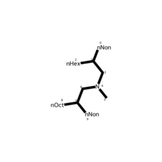 CCCCCCCCCC(CCCCCC)CN(C)CC(CCCCCCCC)CCCCCCCCC